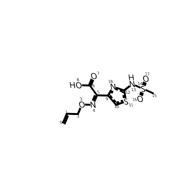 C=CCON=C(C(=O)O)c1csc(NS(C)(=O)=O)n1